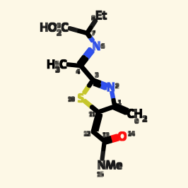 C=c1nc(/C(C)=N/C(CC)C(=O)O)s/c1=C/C(=O)NC